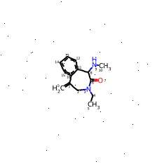 C=C1CN(CC)C(=O)C(NC)c2ccccc21